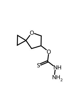 NNC(=S)OC1COC2(CC2)C1